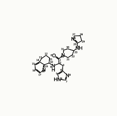 O=C(C(Cc1c[nH]cn1)NC1CCCc2cccnc21)N1CCC(NC2=NCCC2)CC1